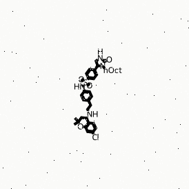 CCCCCCCCN1C(=O)NCC1c1ccc(S(=O)(=O)Nc2ccc(CCNC3CC(C)(C)Oc4cc(Cl)ccc43)cc2)cc1